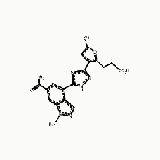 Cc1cc(-c2n[nH]c(-c3nc(C(N)=O)cc4c3cnn4C)n2)n(CCC(=O)O)n1